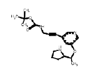 CC(Oc1cncc(C#CCNC(=O)OC(C)(C)C)c1)C1CCCN1